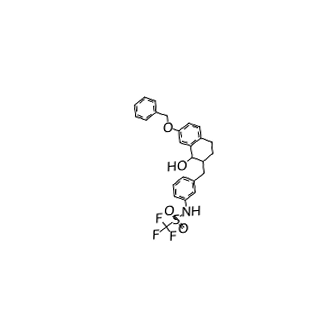 O=S(=O)(Nc1cccc(CC2CCc3ccc(OCc4ccccc4)cc3C2O)c1)C(F)(F)F